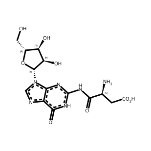 N[C@@H](CC(=O)O)C(=O)Nc1nc2c(ncn2[C@@H]2O[C@H](CO)[C@@H](O)[C@H]2O)c(=O)[nH]1